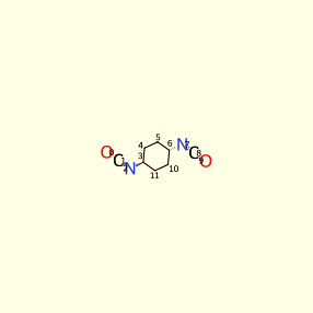 O=C=N[C@H]1CC[C@H](N=C=O)CC1